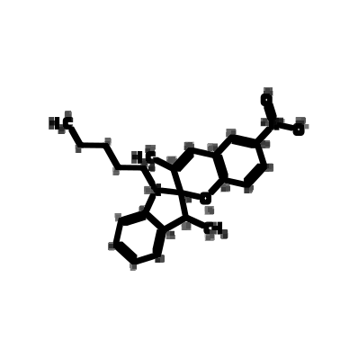 CCCCCN1c2ccccc2C(C)C12Oc1ccc([N+](=O)[O-])cc1C=C2C